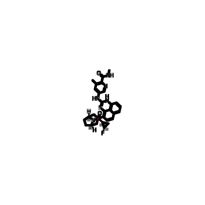 CNC(=O)c1ncc(NC2=Nc3c(N4C[C@H]5CC[C@@H](C4)N5C(=O)[C@H]4C[C@@H]4F)ccc4cccc(c34)N2)cc1C